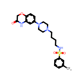 O=C1COc2ccc(N3CCN(CCCCNS(=O)(=O)c4cccc(C(F)(F)F)c4)CC3)cc2N1